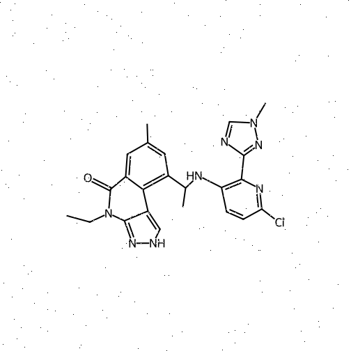 CCn1c(=O)c2cc(C)cc(C(C)Nc3ccc(Cl)nc3-c3ncn(C)n3)c2c2c[nH]nc21